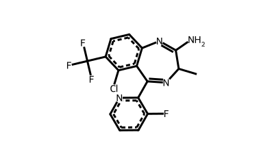 CC1N=C(c2ncccc2F)c2c(ccc(C(F)(F)F)c2Cl)N=C1N